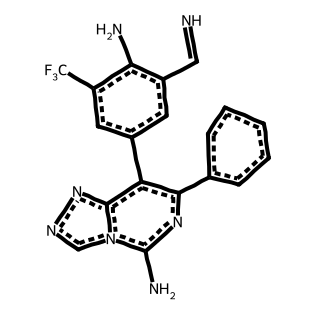 N=Cc1cc(-c2c(-c3ccccc3)nc(N)n3cnnc23)cc(C(F)(F)F)c1N